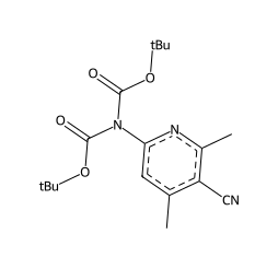 Cc1cc(N(C(=O)OC(C)(C)C)C(=O)OC(C)(C)C)nc(C)c1C#N